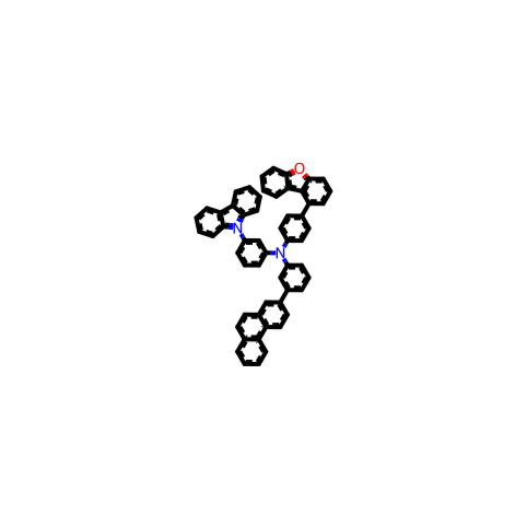 c1cc(-c2ccc3c(ccc4ccccc43)c2)cc(N(c2ccc(-c3cccc4oc5ccccc5c34)cc2)c2cccc(-n3c4ccccc4c4ccccc43)c2)c1